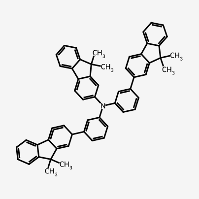 CC1(C)C2=CC(c3cccc(N(c4cccc(-c5ccc6c(c5)C(C)(C)c5ccccc5-6)c4)c4ccc5c(c4)C(C)(C)c4ccccc4-5)c3)C=C=C2c2ccccc21